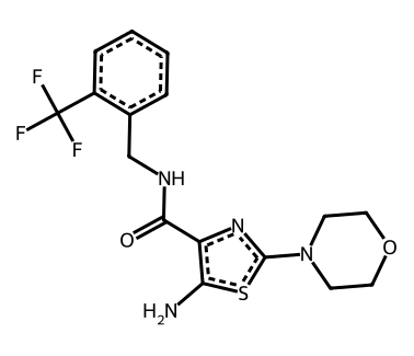 Nc1sc(N2CCOCC2)nc1C(=O)NCc1ccccc1C(F)(F)F